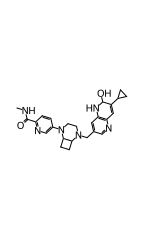 CNC(=O)c1ccc(N2CCN(Cc3cnc4c(c3)NC(O)C(C3CC3)=C4)C3CCC32)cn1